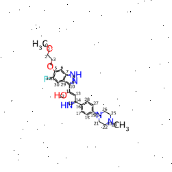 COCCOc1cc2[nH]nc(/C(O)=C/C(=N)c3ccc(N4CCN(C)CC4)cc3)c2cc1F